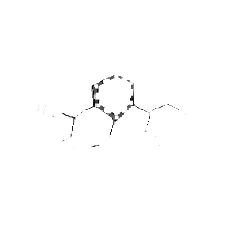 CCC(C)c1cccc(C(C)CC)c1OC